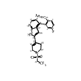 COc1ccc(F)cc1-c1ccnc2[nH]c(C3=CCN(S(=O)(=O)CC(F)(F)F)CC3)cc12